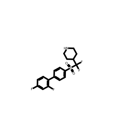 O=S(=O)(c1ccc(-c2ccc(F)cc2F)cc1)C(F)(F)C1CCNCC1